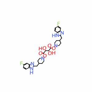 O=C(ON1CCC(Cc2nc3cc(F)ccc3[nH]2)CC1)C(O)C(O)C(=O)ON1CCC(Cc2nc3cc(F)ccc3[nH]2)CC1